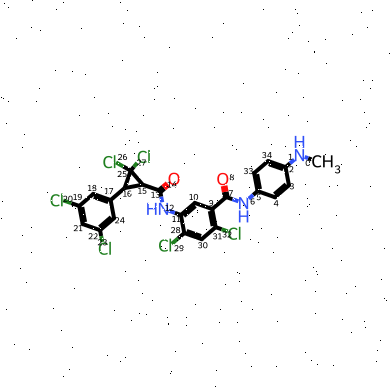 CNc1ccc(NC(=O)c2cc(NC(=O)C3C(c4cc(Cl)cc(Cl)c4)C3(Cl)Cl)c(Cl)cc2Cl)cc1